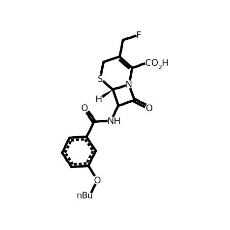 CCCCOc1cccc(C(=O)NC2C(=O)N3C(C(=O)O)=C(CF)CS[C@@H]23)c1